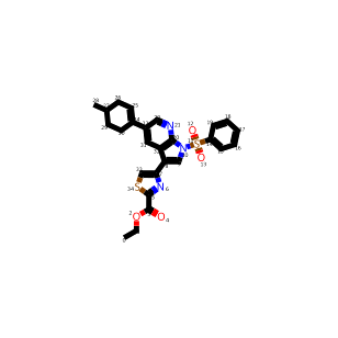 CCOC(=O)c1nc(-c2cn(S(=O)(=O)c3ccccc3)c3ncc(C4=CCC(C)CC4)cc23)cs1